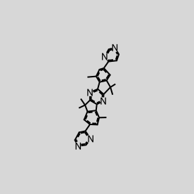 Cc1cc(-c2ccncn2)cc2c1-c1nc3c(nc1C2(C)C)-c1c(C)cc(-c2ccncn2)cc1C3(C)C